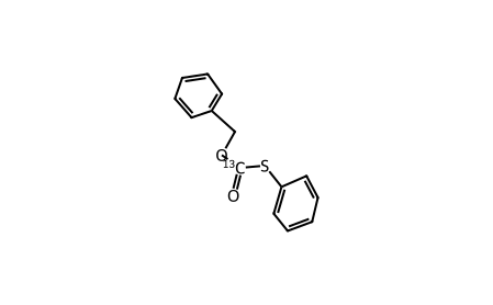 O=[13C](OCc1ccccc1)Sc1ccccc1